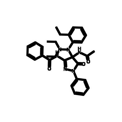 CCc1ccccc1N(N(CC)CC)C1(NC(C)=O)C(=O)N(c2ccccc2)N=C1NC(=O)c1ccccc1